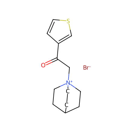 O=C(C[N+]12CCC(CC1)CC2)c1ccsc1.[Br-]